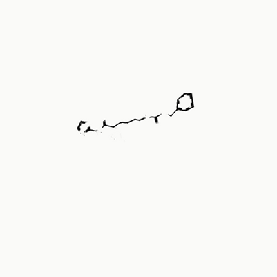 N[C@@H](CCCCNC(=O)OCc1ccccc1)C(=O)Nc1nccs1